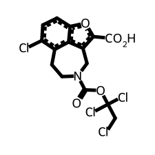 O=C(O)c1oc2ccc(Cl)c3c2c1CN(C(=O)OC(Cl)(Cl)CCl)CC3